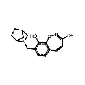 OC1=NOc2c(ccc(CN3CC4CCC3C4)c2O)C=C1